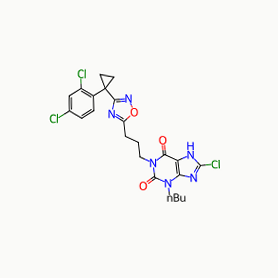 CCCCn1c(=O)n(CCCc2nc(C3(c4ccc(Cl)cc4Cl)CC3)no2)c(=O)c2[nH]c(Cl)nc21